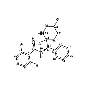 Cc1cccc(C)c1C(=O)N[C@H](c1ccccc1)C1(C)CCC(C)CN1